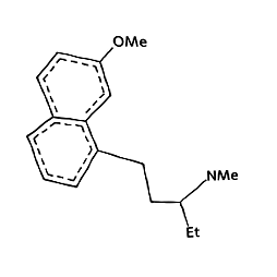 CCC(CCc1cccc2ccc(OC)cc12)NC